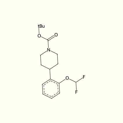 CC(C)(C)OC(=O)N1CCC(c2ccccc2OC(F)F)CC1